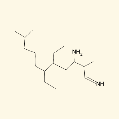 CCC(CCCC(C)C)C(CC)CC(N)C(C)C=N